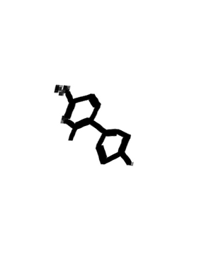 [CH2]c1ccc(-c2ccc(N)nc2C)cc1